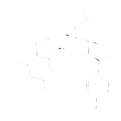 Cc1nc(C)c2ccn([C@@H]3O[C@H](C(=O)c4ccc(F)cc4)[C@H]4OC(C)(C)O[C@H]43)c2n1